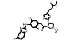 COC(=O)CCc1cnc([C@@H]2C[C@H](OC)CN2C(=O)Cc2cc(Cl)c(Nc3nc4cc(F)ccc4s3)cc2F)s1